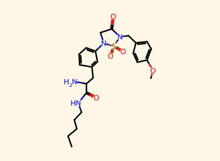 CCCCCNC(=O)C(N)Cc1cccc(N2CC(=O)N(Cc3ccc(OC)cc3)S2(=O)=O)c1